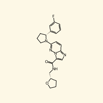 O=C(NC[C@@H]1CCCO1)c1cnc2ccc(N3CCC[C@@H]3c3cccc(F)c3)nn12